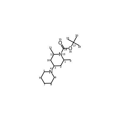 CC1CC(N2CCCCC2)CC(C)N1C(=O)OC(C)(C)C